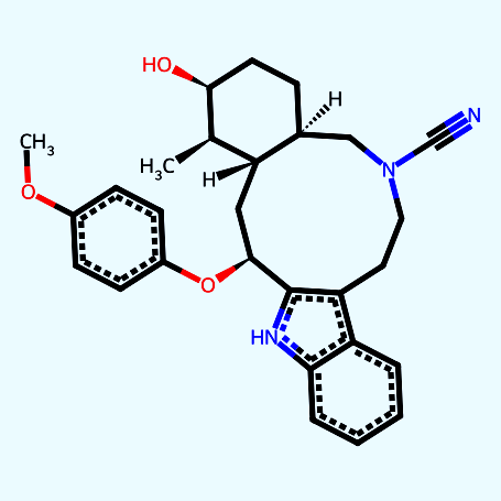 COc1ccc(O[C@H]2C[C@H]3[C@@H](CC[C@H](O)[C@@H]3C)CN(C#N)CCc3c2[nH]c2ccccc32)cc1